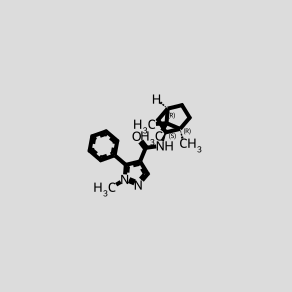 Cn1ncc(C(=O)N[C@H]2C[C@H]3CC[C@]2(C)C3(C)C)c1-c1ccccc1